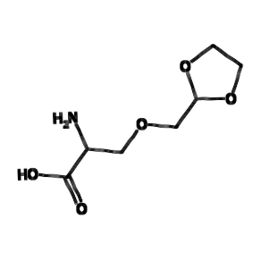 NC(COCC1OCCO1)C(=O)O